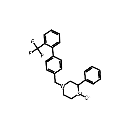 [O-][S+]1CCN(Cc2ccc(-c3ccccc3C(F)(F)F)cc2)CC1c1ccccc1